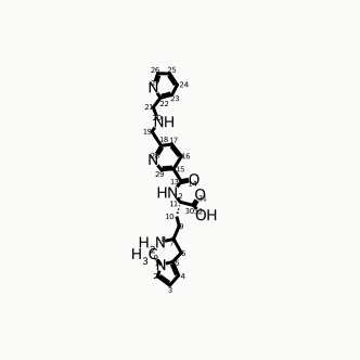 Cn1cccc1CC(N)CC[C@H](NC(=O)c1ccc(CNCc2ccccn2)nc1)C(=O)O